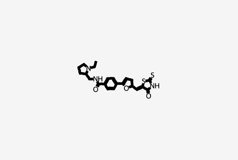 CCN1CCCC1CNC(=O)c1ccc(C2=CCC(/C=C3\SC(=S)NC3=O)O2)cc1